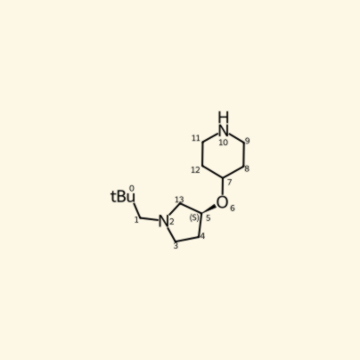 CC(C)(C)CN1CC[C@H](OC2CCNCC2)C1